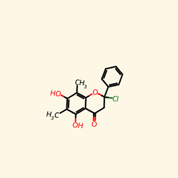 Cc1c(O)c(C)c2c(c1O)C(=O)CC(Cl)(c1ccccc1)O2